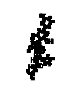 CO[C@]1(NC(=O)C(NC(=O)NCC(C)C)c2cccs2)C(=O)N2C(C(=O)O)=C(CSc3ccc[n+]([O-])n3)CSC21